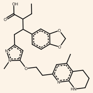 CCC(C(=O)O)C(Cc1cc(OCCc2cc(C)c3c(n2)NCCC3)n(C)n1)c1ccc2c(c1)OCO2